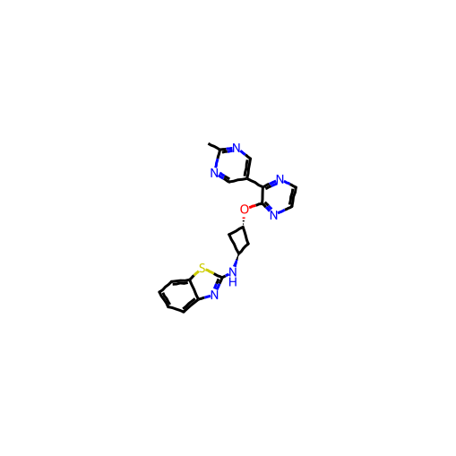 Cc1ncc(-c2nccnc2O[C@H]2C[C@H](Nc3nc4ccccc4s3)C2)cn1